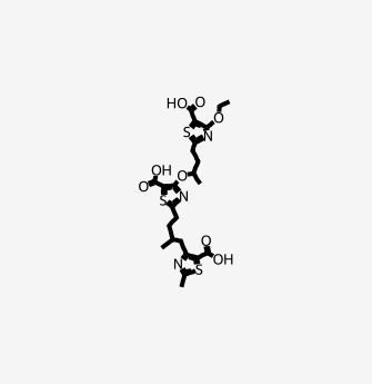 CCOc1nc(CCC(C)Oc2nc(CCC(C)Cc3nc(C)sc3C(=O)O)sc2C(=O)O)sc1C(=O)O